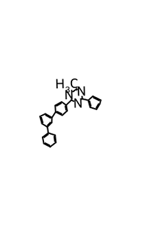 Cc1nc(-c2ccccc2)nc(-c2ccc(-c3cccc(-c4ccccc4)c3)cc2)n1